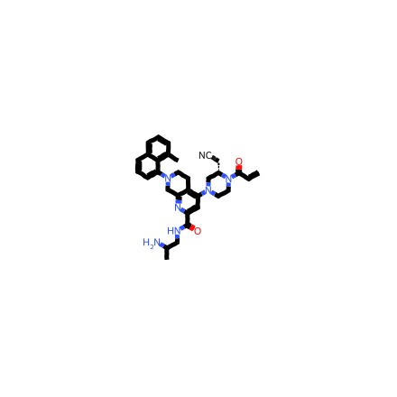 C=CC(=O)N1CCN(c2cc(C(=O)NCC(C)N)nc3c2CCN(c2cccc4cccc(C)c24)C3)C[C@@H]1CC#N